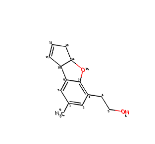 Cc1cc(CCO)c2c(c1)C1C=CCC1O2